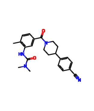 Cc1ccc(C(=O)N2CCC(c3ccc(C#N)cc3)CC2)cc1NC(=O)N(C)C